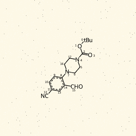 CC(C)(C)OC(=O)N1CCN(c2ccc(C#N)cc2C=O)CC1